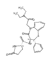 CCN(CC)C(=O)CN1C(=O)[C@H](NC(=O)[C@@H]2CCC(=O)N2)[C@@H](c2ccccc2)Sc2ccccc21